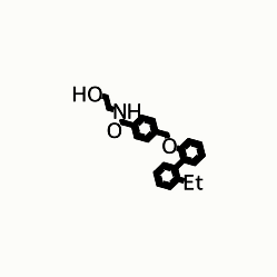 CCc1ccccc1-c1ccccc1OCc1ccc(C(=O)NCCO)cc1